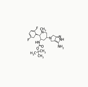 CN1CC(N2Cc3n[nH]c(N)c3C2)CC(NC(=O)OC(C)(C)C)[C@H]1C1CC(F)=CC=C1F